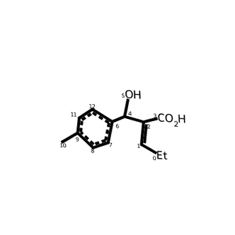 CCC=C(C(=O)O)C(O)c1ccc(C)cc1